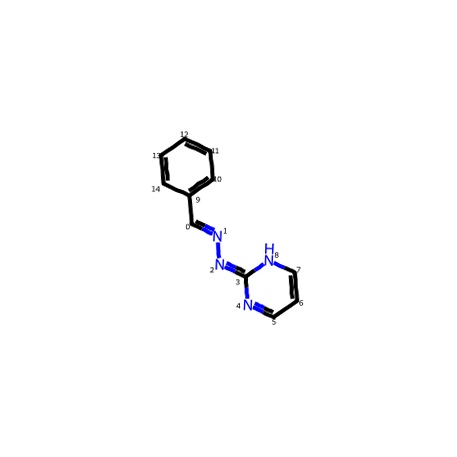 C(=NN=c1nccc[nH]1)c1ccccc1